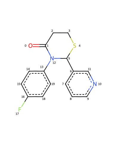 O=C1CCSC(c2cccnc2)N1c1ccc(F)cc1